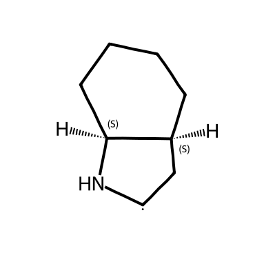 [CH]1C[C@@H]2CCCC[C@@H]2N1